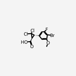 COc1cc([C@@H]2[C@@H](C(=O)O)C2(Cl)Cl)cc(F)c1Br